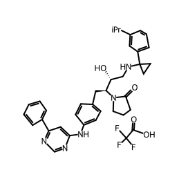 CC(C)c1cccc(C2(NC[C@@H](O)[C@H](Cc3ccc(Nc4cc(-c5ccccc5)ncn4)cc3)N3CCCC3=O)CC2)c1.O=C(O)C(F)(F)F